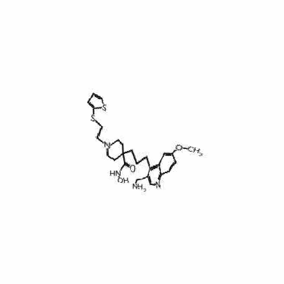 COc1ccc2ncc(CN)c(CCCC3(C(=O)NO)CCN(CCSc4cccs4)CC3)c2c1